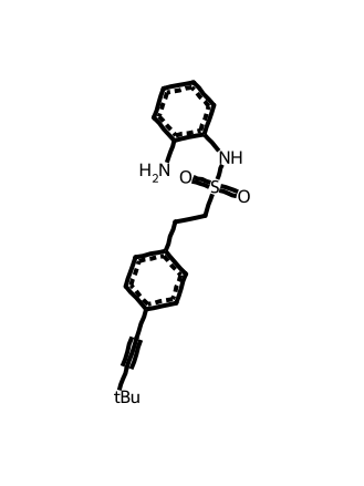 CC(C)(C)C#Cc1ccc(CCS(=O)(=O)Nc2ccccc2N)cc1